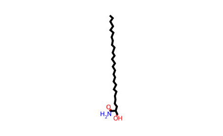 CCCCCCCCCCCCCCCCCCCCCCCCCCC(CO)C(N)=O